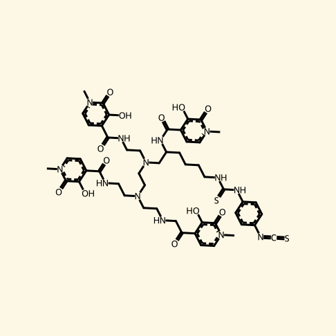 Cn1ccc(C(=O)CNCCN(CCNC(=O)c2ccn(C)c(=O)c2O)CCN(CCNC(=O)c2ccn(C)c(=O)c2O)CC(CCCCNC(=S)Nc2ccc(N=C=S)cc2)NC(=O)c2ccn(C)c(=O)c2O)c(O)c1=O